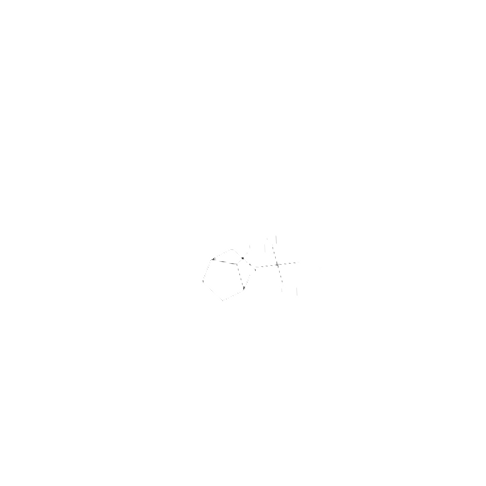 CC1C2CCC1N(C(C)(C)C)C2